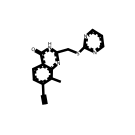 C#Cc1ccc2c(=O)[nH]c(CSc3ncccn3)nc2c1C